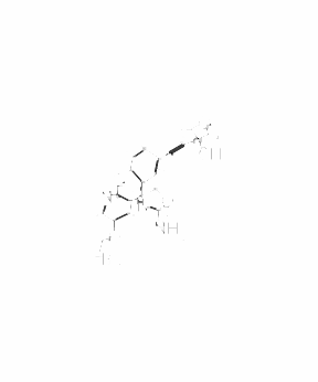 CC(C)(C)COc1cnc2c(c1)[C@]1(COC(N)=N1)c1cc(C#CC3(C)COC3)ccc1O2